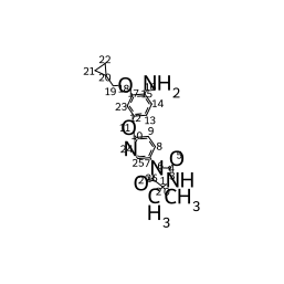 CC1(C)NC(=O)N(c2ccc(Oc3ccc(N)c(OCC4CC4)c3)nc2)C1=O